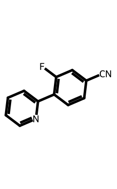 N#Cc1ccc(-c2ccccn2)c(F)c1